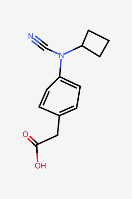 N#CN(c1ccc(CC(=O)O)cc1)C1CCC1